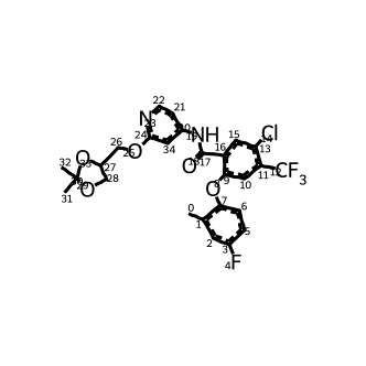 Cc1cc(F)ccc1Oc1cc(C(F)(F)F)c(Cl)cc1C(=O)Nc1ccnc(OCC2COC(C)(C)O2)c1